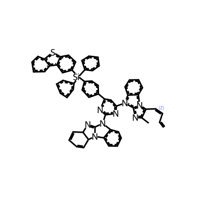 C=C/C=C\c1c(C)nc2n(-c3cc(-c4ccc([Si](c5ccccc5)(c5ccccc5)c5ccc6sc7ccccc7c6c5)cc4)nc(N4C5=NC6C=CC=CC6N5c5ccccc54)n3)c3ccccc3n12